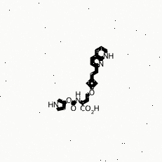 O=C(N[C@@H](CCOC1CC(CCc2ccc3c(n2)NCCC3)C1)C(=O)O)OC1CCNC1